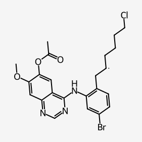 COc1cc2ncnc(Nc3cc(Br)ccc3C[CH]CCCCCl)c2cc1OC(C)=O